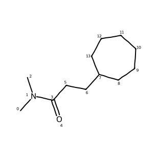 CN(C)C(=O)CCC1CCCCCC1